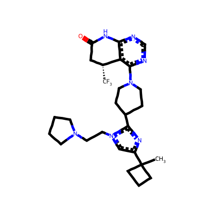 CC1(c2cn(CCN3CCCC3)c(C3CCN(c4ncnc5c4[C@H](C(F)(F)F)CC(=O)N5)CC3)n2)CCC1